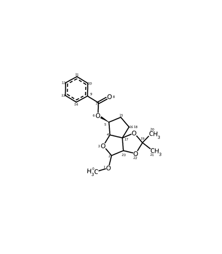 COC1OC2[C@@H](OC(=O)c3ccccc3)CCC23OC(C)(C)OC13